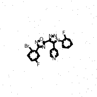 Fc1ccc(Br)c(-c2noc(-c3nnn(-c4ccccc4F)c3-c3ccncc3)n2)c1